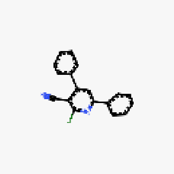 N#Cc1c(-c2ccccc2)cc(-c2ccccc2)nc1Cl